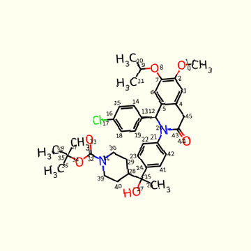 COc1cc2c(cc1OC(C)C)[C@H](c1ccc(Cl)cc1)N(c1ccc(C(C)(O)C3CCN(C(=O)OC(C)(C)C)CC3)cc1)C(=O)C2